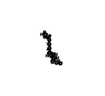 [2H]C([2H])([2H])n1cc(-c2ccnc(N3CCc4c(sc5c4CCCC5)C3=O)c2CO)cc(Nc2ccc(N3CCN([C@H]4CCN(c5ccc6c(c5)CN([C@H]5CCC(=O)NC5=O)C6=O)[C@@H](C)C4)C[C@@H]3C)cn2)c1=O